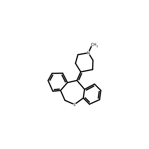 CN1CCC(=C2c3ccccc3CSc3ccccc32)CC1